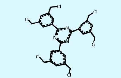 ClCc1cc(CCl)cc(-c2nc(-c3cc(CCl)cc(CCl)c3)nc(-c3cc(CCl)cc(CCl)c3)n2)c1